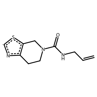 C=CCNC(=O)N1CCc2n[c]sc2C1